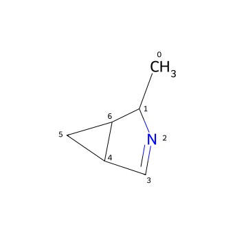 CC1N=CC2CC21